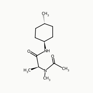 CC(=O)N(C)[C@@H](C)C(=O)N[C@H]1CC[C@H](C)CC1